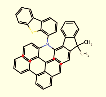 CC1(C)c2ccccc2-c2c(N(c3ccccc3-c3cccc4cccc(-c5ccccc5)c34)c3cccc4c3sc3ccccc34)cccc21